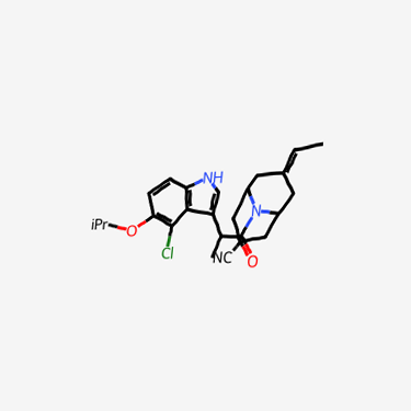 CC=C1CC2CC(C#N)CC(C1)N2C(=O)C(C)c1c[nH]c2ccc(OC(C)C)c(Cl)c12